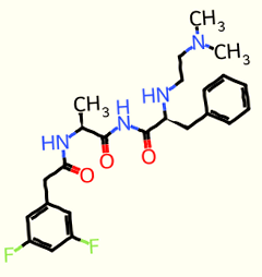 C[C@H](NC(=O)Cc1cc(F)cc(F)c1)C(=O)NC(=O)[C@H](Cc1ccccc1)NCCN(C)C